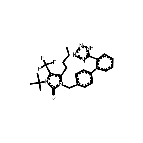 CCCCc1c(C(F)(F)F)n(C(C)(C)C)c(=O)n1Cc1ccc(-c2ccccc2-c2nnn[nH]2)cc1